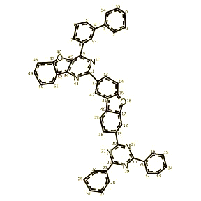 c1ccc(-c2cccc(-c3nc(-c4ccc5oc6cc(-c7nc(-c8ccccc8)nc(-c8ccccc8)n7)ccc6c5c4)nc4c3oc3ccccc34)c2)cc1